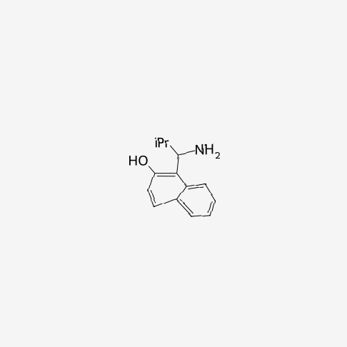 CC(C)C(N)c1c(O)ccc2ccccc12